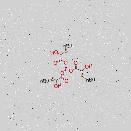 CCCCSC(O)C(=O)OP(OC(=O)C(O)SCCCC)OC(=O)C(O)SCCCC